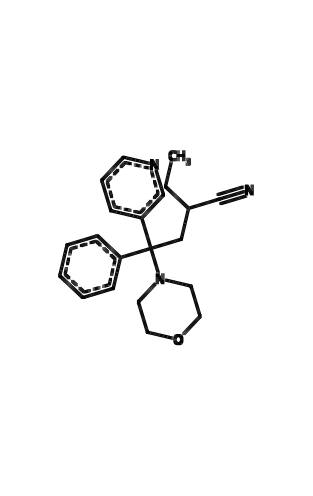 CCC(C#N)CC(c1ccccc1)(c1cccnc1)N1CCOCC1